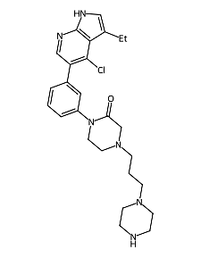 CCc1c[nH]c2ncc(-c3cccc(N4CCN(CCCN5CCNCC5)CC4=O)c3)c(Cl)c12